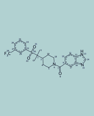 CC(C)(C1CCN(C(=O)c2ccc3[nH]cnc3c2)CC1)S(=O)(=O)c1cccc(C(F)(F)F)c1